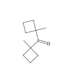 CC1(C(=O)C2(C)CCC2)CCC1